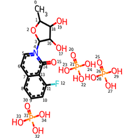 CC1OC(n2ccc3cccc(F)c3c2=O)C(O)C1O.O=P(O)(O)O.O=P(O)(O)O.O=P(O)(O)O